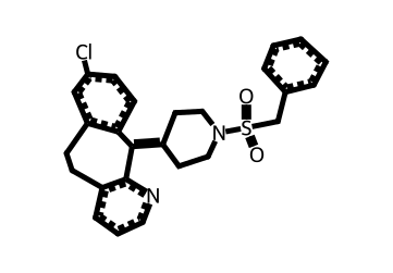 O=S(=O)(Cc1ccccc1)N1CCC(=C2c3ccc(Cl)cc3CCc3cccnc32)CC1